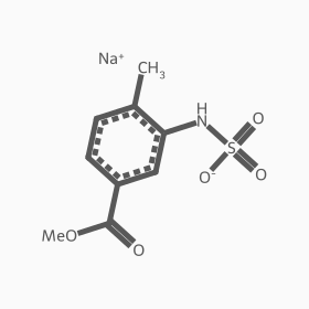 COC(=O)c1ccc(C)c(NS(=O)(=O)[O-])c1.[Na+]